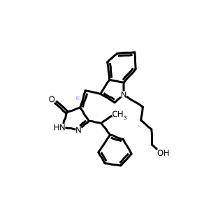 CC(C1=NNC(=O)/C1=C/c1cn(CCCCO)c2ccccc12)c1ccccc1